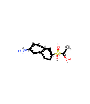 CC(O)S(=O)(=O)c1ccc2cc(N)ccc2c1